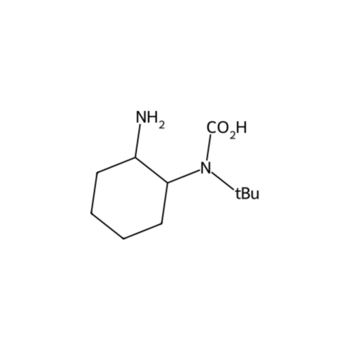 CC(C)(C)N(C(=O)O)C1CCCCC1N